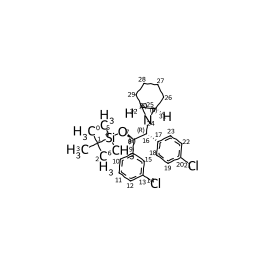 CC(C)(C)[Si](C)(C)O[C@H](c1cccc(Cl)c1)[C@@H](c1ccc(Cl)cc1)N1[C@@H]2CCCC[C@@H]21